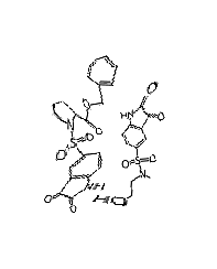 CN(CCO)S(=O)(=O)c1ccc2c(c1)C(=O)C(=O)N2.O=C1Nc2ccc(S(=O)(=O)N3CCCC3C(=O)OCc3ccccc3)cc2C1=O